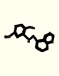 COc1ccc(OC)c(NCc2ccnc3ncncc23)c1